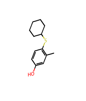 Cc1cc(O)ccc1SC1CCCCC1